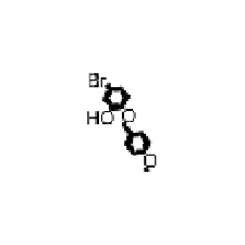 COc1ccc(COc2ccc(Br)cc2O)cc1